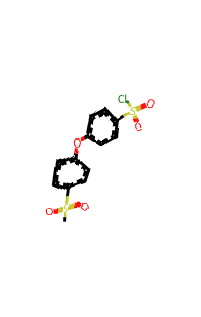 CS(=O)(=O)c1ccc(Oc2ccc(S(=O)(=O)Cl)cc2)cc1